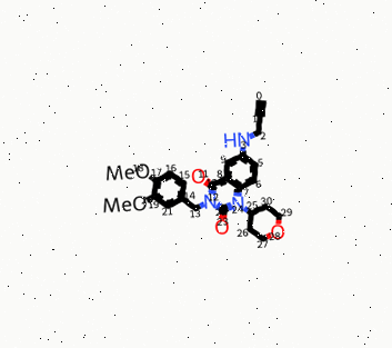 C#CCNc1ccc2c(c1)c(=O)n(Cc1ccc(OC)c(OC)c1)c(=O)n2C1CCOCC1